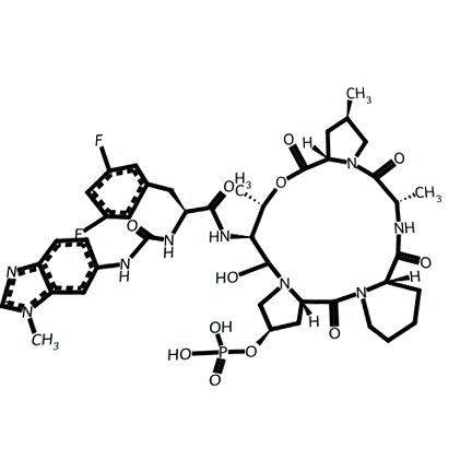 C[C@@H]1C[C@H]2C(=O)O[C@@H](C)[C@H](NC(=O)[C@H](Cc3cc(F)cc(F)c3)NC(=O)Nc3ccc4ncn(C)c4c3)C(O)N3C[C@H](OP(=O)(O)O)C[C@H]3C(=O)N3CCCC[C@H]3C(=O)N[C@@H](C)C(=O)N2C1